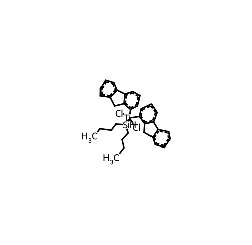 CCCC[SiH](CCCC)[Ti]([Cl])([Cl])([c]1cccc2c1Cc1ccccc1-2)[c]1cccc2c1Cc1ccccc1-2